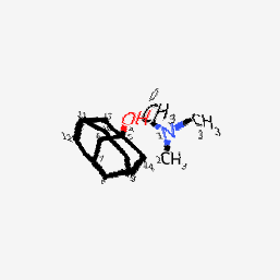 CN(C)C.OC12CC3CC(CC(C3)C1)C2